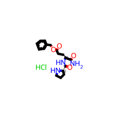 Cl.NC(=O)[C@@H](CCC(=O)OCc1ccccc1)NC(=O)[C@@H]1CCCN1